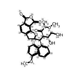 COc1ccc([C@]2([C@H](c3ccccc3)[C@@H](C(=O)N(C)OC)[C@@H](O)CO)Cc3ccc4c(c3O2)C(=O)OC4=O)cc1